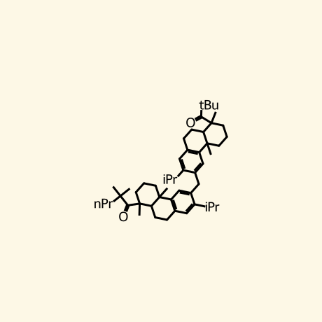 CCCC(C)(C)C(=O)C1(C)CCCC2(C)c3cc(Cc4cc5c(cc4C(C)C)CCC4C(C)(C(=O)C(C)(C)C)CCCC54C)c(C(C)C)cc3CCC12